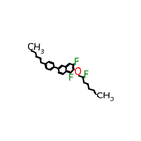 CCCCCCc1ccc(-c2ccc3c(F)c(OCC(F)CCCCCC)c(F)cc3c2)cc1